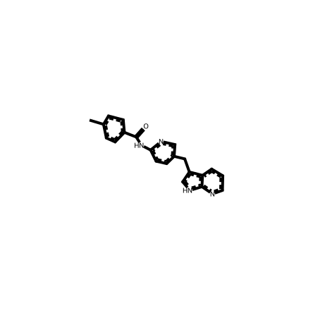 Cc1ccc(C(=O)Nc2ccc(Cc3c[nH]c4ncccc34)cn2)cc1